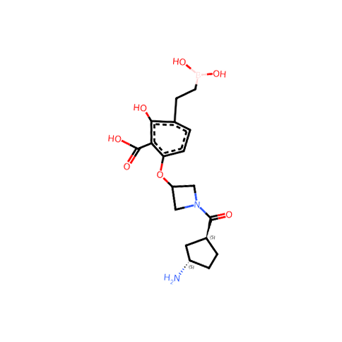 N[C@H]1CC[C@H](C(=O)N2CC(Oc3ccc(CCB(O)O)c(O)c3C(=O)O)C2)C1